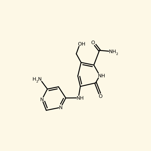 NC(=O)c1[nH]c(=O)c(Nc2cc(N)ncn2)cc1CO